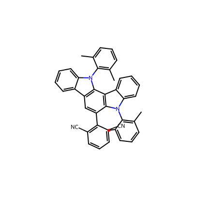 Cc1cccc(C)c1-n1c2ccccc2c2c1c(-c1c(C#N)cccc1C#N)cc1c3ccccc3n(-c3c(C)cccc3C)c12